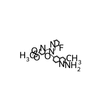 Cc1cc2cc(C(=O)N(Cc3ccc(S(C)(=O)=O)cn3)Cc3ncccc3F)ccc2nc1N